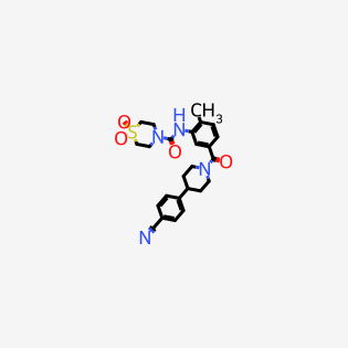 Cc1ccc(C(=O)N2CCC(c3ccc(C#N)cc3)CC2)cc1NC(=O)N1CCS(=O)(=O)CC1